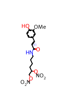 COc1cc(/C=C/C(=O)NCCCCC(CO[N+](=O)[O-])O[N+](=O)[O-])ccc1O